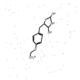 O=C(O)COc1ccc(CC2SC(O)NC2O)cc1